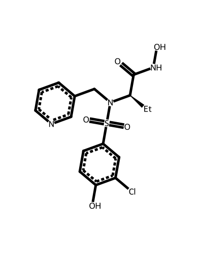 CC[C@H](C(=O)NO)N(Cc1cccnc1)S(=O)(=O)c1ccc(O)c(Cl)c1